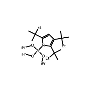 CCC(C)(C)c1cc(C(C)(C)CC)[n]([Zr]([O]C(C)C)([O]C(C)C)[O]C(C)C)c1C(C)(C)CC